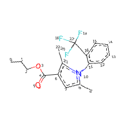 CCCOC(=O)c1cc(C)n(-c2ccccc2C(F)(F)F)c1C